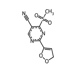 CS(=O)(=O)c1nc(C2=CCOO2)ncc1C#N